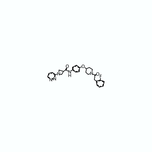 O=C(Nc1ccc(OC2CCN(C(=O)Cc3ccccc3F)CC2)cc1)C1CN(c2cccnn2)C1